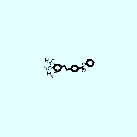 Cc1cc(CCc2ccc(C(=O)Sc3ccccc3)cc2)cc(C)c1O